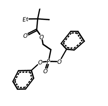 CCC(C)(C)C(=O)OCCP(=O)(Oc1ccccc1)Oc1ccccc1